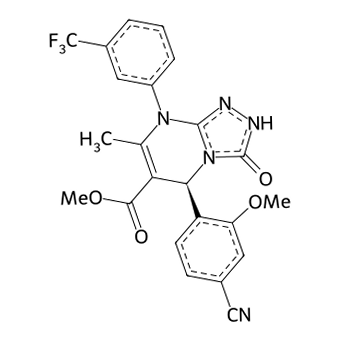 COC(=O)C1=C(C)N(c2cccc(C(F)(F)F)c2)c2n[nH]c(=O)n2[C@H]1c1ccc(C#N)cc1OC